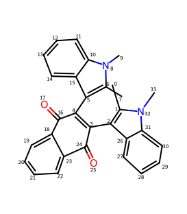 Cc1c(C2=C(c3c(C)n(C)c4ccccc34)C(=O)c3ccccc3C2=O)c2ccccc2n1C